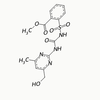 COC(=O)c1ccccc1S(=O)(=O)NC(=O)Nc1nc(C)cc(CO)n1